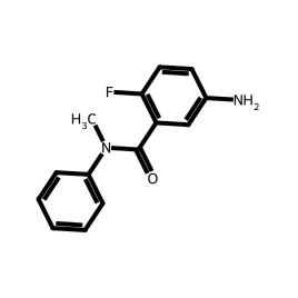 CN(C(=O)c1cc(N)ccc1F)c1ccccc1